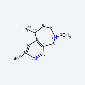 CC(C)c1cc2c(cn1)CN(C)CCC2C(C)C